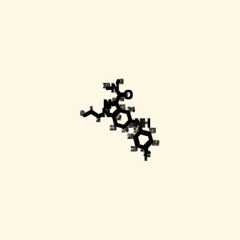 CCCn1nc(C(=O)N(C)C)c2c1CCC(Nc1ccc(F)cc1)C2